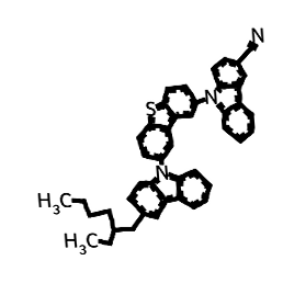 CCCCC(CC)Cc1ccc2c(c1)c1ccccc1n2-c1ccc2sc3ccc(-n4c5ccccc5c5cc(C#N)ccc54)cc3c2c1